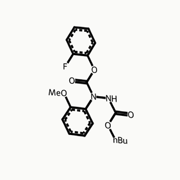 CCCCOC(=O)NN(C(=O)Oc1ccccc1F)c1ccccc1OC